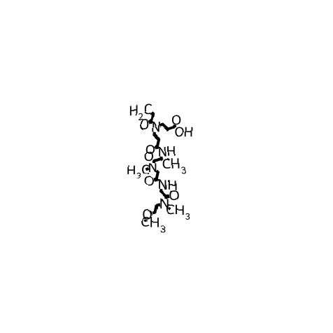 C=CC(=O)N(CCC(=O)O)CCC(=O)NC(C)C(=O)N(C)CC(=O)NCC(=O)N(C)CCOC